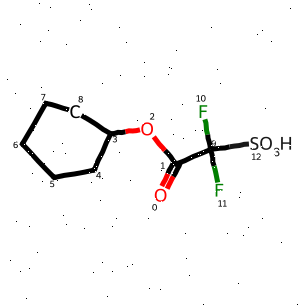 O=C(OC1CCCCC1)C(F)(F)S(=O)(=O)O